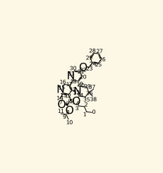 CCCCO[C@H](C(=O)OC(C)C)c1c(C)ncc(-c2ccc(OCc3ccccc3)cn2)c1N1CCC(C)(C)CC1